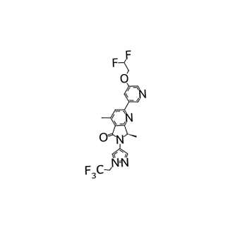 Cc1cc(-c2cncc(OCC(F)F)c2)nc2c1C(=O)N(c1cnn(CC(F)(F)F)c1)[C@@H]2C